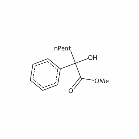 CCCCCC(O)(C(=O)OC)c1ccccc1